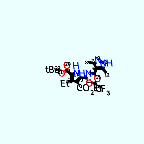 CCOC(=O)c1c(C(NCc2c(C)n[nH]c2C)OC(=O)C(F)(F)F)[nH]c(C(=O)OC(C)(C)C)c1CC